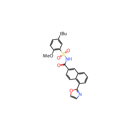 COc1ccc(C(C)(C)C)cc1S(=O)(=O)NC(=O)c1ccc2c(-c3ncco3)cccc2c1